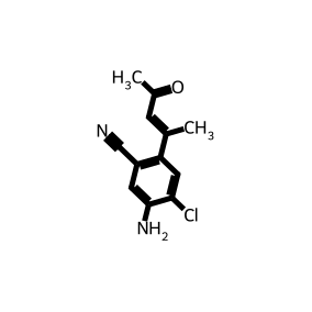 CC(=O)C=C(C)c1cc(Cl)c(N)cc1C#N